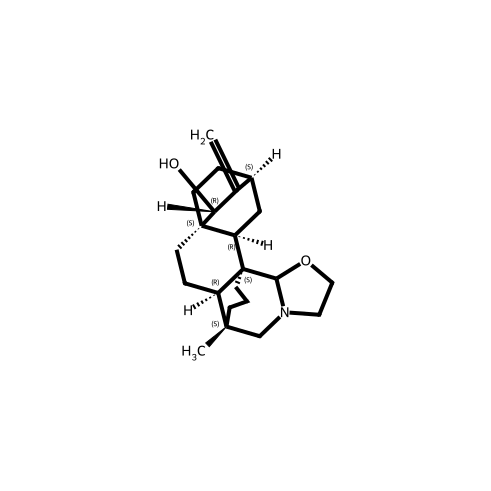 C=C1[C@H]2CC[C@@]3(CC[C@@H]4[C@]5(C)CCC[C@@]4(C4OCCN4C5)[C@@H]3C2)[C@@H]1O